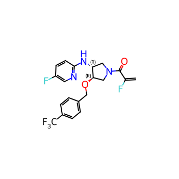 C=C(F)C(=O)N1C[C@@H](Nc2ccc(F)cn2)[C@H](OCc2ccc(C(F)(F)F)cc2)C1